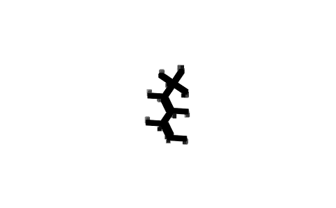 C/[C]=C(C)\C(C)=C(/C)C(C)(C)C